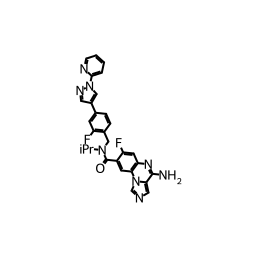 CC(C)N(Cc1ccc(-c2cnn(-c3ccccn3)c2)cc1F)C(=O)c1cc2c(cc1F)nc(N)c1cncn12